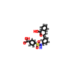 O=C(O)c1ccc(S(=O)(=O)Nc2cccc(CCc3ccccc3C(=O)O)c2)cc1